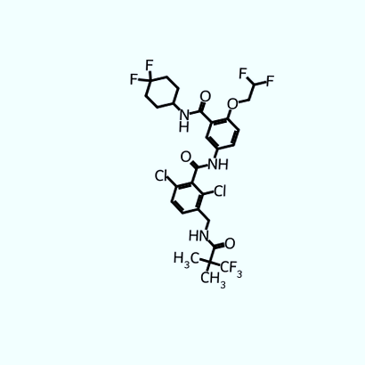 CC(C)(C(=O)NCc1ccc(Cl)c(C(=O)Nc2ccc(OCC(F)F)c(C(=O)NC3CCC(F)(F)CC3)c2)c1Cl)C(F)(F)F